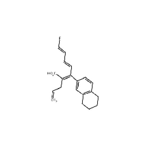 C=CCC(C(=O)O)=C(C=CC=CF)c1ccc2c(c1)CCCC2